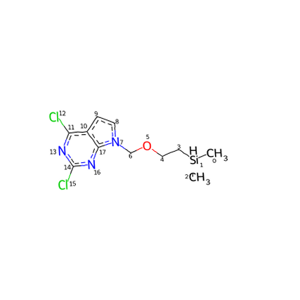 C[SiH](C)CCOCn1ccc2c(Cl)nc(Cl)nc21